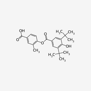 Cc1cc(C(=O)O)ccc1OC(=O)c1cc(C(C)(C)C)c(O)c(C(C)(C)C)c1